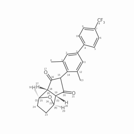 Cc1cc(-c2ccc(C(F)(F)F)cc2)cc(C)c1C1C(=O)[C@@H]2[C@H](C1=O)[C@H]1CC[C@@H]2O1